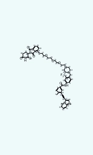 Cc1ccc(C(=O)Nc2ccc(CN3CCN(CCOCCOCCOCCSc4cccc5c4C(=O)N(C4CCC(=O)NC4=O)C5=O)CC3)c(C(F)(F)F)c2)cc1C#Cc1cnc2cccnn12